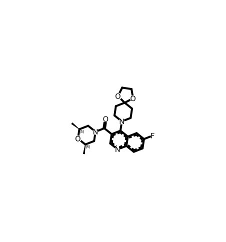 C[C@@H]1CN(C(=O)c2cnc3ccc(F)cc3c2N2CCC3(CC2)OCCO3)C[C@H](C)O1